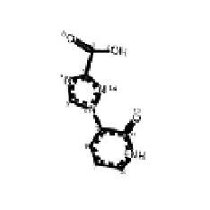 O=C(O)c1ncn(-c2ccc[nH]c2=O)n1